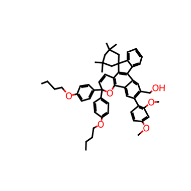 CCCCOc1ccc(C2(c3ccc(OCCCC)cc3)C=Cc3c4c(c5cc(CO)c(-c6ccc(OC)cc6OC)cc5c3O2)-c2ccccc2C42CC(C)(C)CC(C)(C)C2)cc1